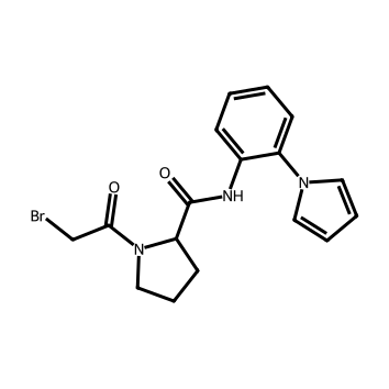 O=C(Nc1ccccc1-n1cccc1)C1CCCN1C(=O)CBr